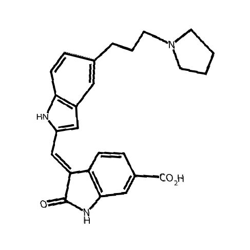 O=C1Nc2cc(C(=O)O)ccc2C1=Cc1cc2cc(CCCN3CCCC3)ccc2[nH]1